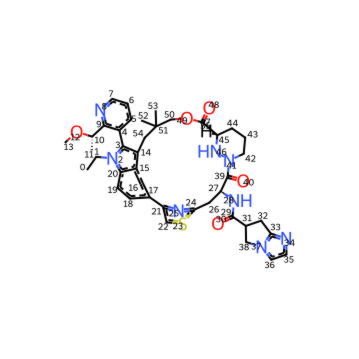 CCn1c(-c2cccnc2[C@H](C)OC)c2c3cc(ccc31)-c1csc(n1)C[C@H](NC(=O)C1Cc3nccn3C1)C(=O)N1CCC[C@H](N1)C(=O)OCC(C)(C)C2